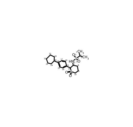 CC(C)S(=O)(=O)NC1CCCS(=O)(=O)C1c1ccc(C2CCCCC2)cc1